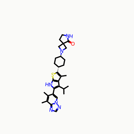 Cc1c(-c2[nH]c3sc([C@H]4CC[C@H](N5CC6(CCNC6=O)C5)CC4)c(C)c3c2C(C)C)cn2ncnc2c1C